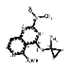 COc1nccc2nc([S+](C)[O-])nc(NC3(C)CC3)c12